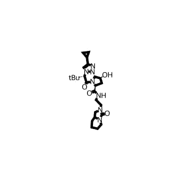 CC(C)(C)[C@@H](C(=O)N1C[C@H](O)C[C@H]1C(=O)NCCN1CC2CCCCN2C1=O)n1cc(C2CC2)nn1